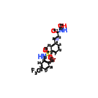 O=C(/C=C/c1cccc(S(=O)(=O)Nc2cc(C(F)(F)F)ccc2Br)c1)NO